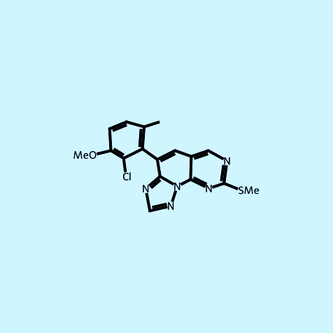 COc1ccc(C)c(-c2cc3cnc(SC)nc3n3ncnc23)c1Cl